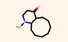 CN1CCC(=O)C2CCCCCCCC21